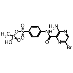 CP(=O)(O)OS(=O)(=O)c1ccc(NC(=O)c2nc(Br)cnc2N)cc1